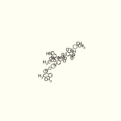 CC(C)c1ccccc1[C@@H]1CCCN1C1CC2(CCN(c3ccc(C(=O)NS(=O)(=O)c4cc5c(c([N+](=O)[O-])c4)N[C@@H](C4CCC(C)(C)CC4)CO5)c(Oc4cc5cc[nH]c5nc4OC[C@H](C)O)c3)CC2)C1